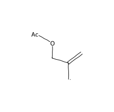 [CH2]C(=C)COC(C)=O